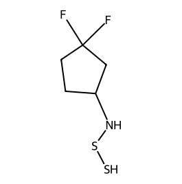 FC1(F)CCC(NSS)C1